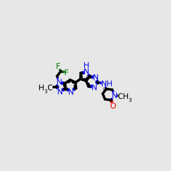 Cc1nc2ncc(-c3c[nH]c4nc(N[C@@H]5CCC(=O)N(C)C5)ncc34)cc2n1CC(F)F